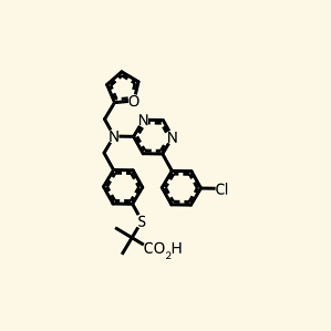 CC(C)(Sc1ccc(CN(Cc2ccco2)c2cc(-c3cccc(Cl)c3)ncn2)cc1)C(=O)O